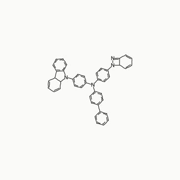 C1=CC2=NN(c3ccc(N(c4ccc(-c5ccccc5)cc4)c4ccc(N5c6ccccc6C6C=CC=CC65)cc4)cc3)C2C=C1